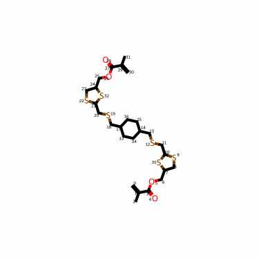 C=C(C)C(=O)OCC1CSC(CSCC2CCC(CSCC3SCC(COC(=O)C(=C)C)S3)CC2)S1